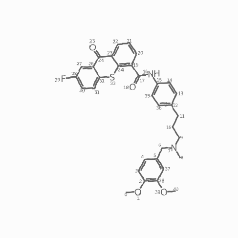 COc1ccc(CN(C)CCCc2ccc(NC(=O)c3cccc4c(=O)c5cc(F)ccc5sc34)cc2)cc1OC